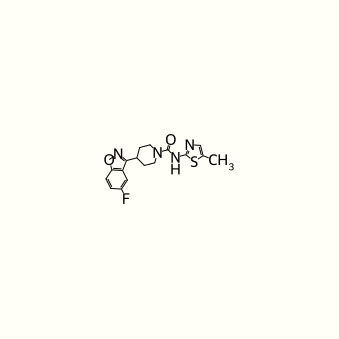 Cc1cnc(NC(=O)N2CCC(c3noc4ccc(F)cc34)CC2)s1